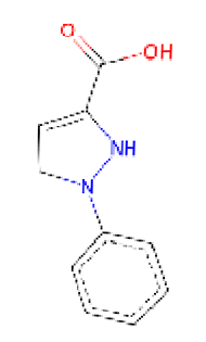 O=C(O)C1=CCN(c2ccccc2)N1